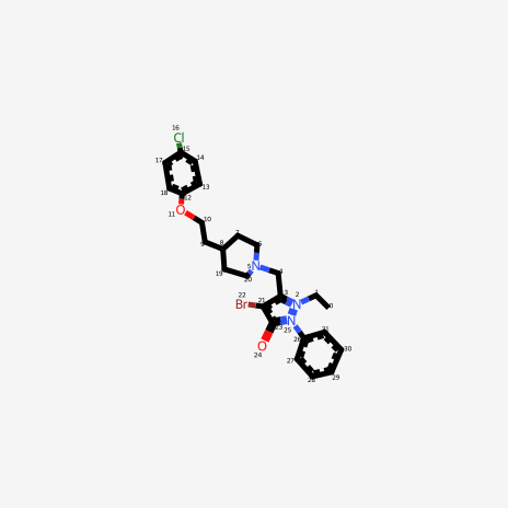 CCn1c(CN2CCC(CCOc3ccc(Cl)cc3)CC2)c(Br)c(=O)n1-c1ccccc1